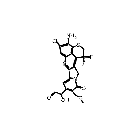 COCc1c(C(O)C=O)cc2n(c1=O)Cc1c-2nc2cc(Cl)c(N)c3c2c1C(F)(F)CS3